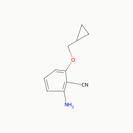 N#Cc1c(N)cccc1OCC1CC1